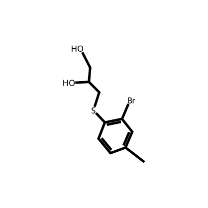 Cc1ccc(SCC(O)CO)c(Br)c1